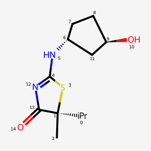 CC(C)[C@@]1(C)SC(N[C@@H]2CC[C@@H](O)C2)=NC1=O